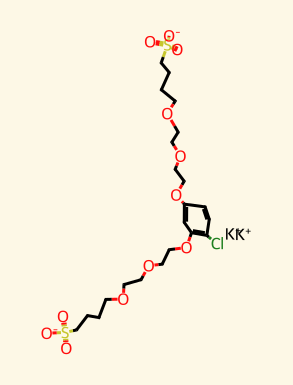 O=S(=O)([O-])CCCCOCCOCCOc1ccc(Cl)c(OCCOCCOCCCCS(=O)(=O)[O-])c1.[K+].[K+]